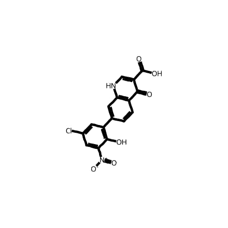 O=C(O)c1c[nH]c2cc(-c3cc(Cl)cc([N+](=O)[O-])c3O)ccc2c1=O